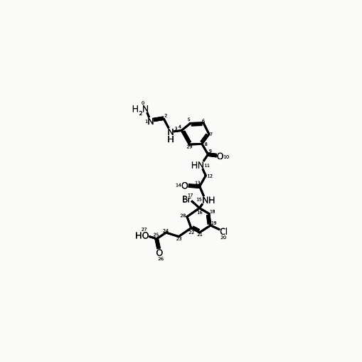 NN=CNc1cccc(C(=O)NCC(=O)NC2(Br)C=C(Cl)C=C(CCC(=O)O)C2)c1